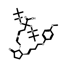 COc1ccc(OCC/C=C/[C@H]2CCC(=O)[C@@H]2CC=C=CCC(O[Si](C)(C)C(C)(C)C)(O[Si](C)(C)C(C)(C)C)C(=O)O)cc1